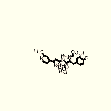 Cc1cc(-c2cc(NC(=O)C(Cc3ccc(F)cc3)NCC(=O)O)[nH]n2)ccn1.Cl.Cl